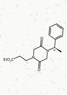 CCOC(=O)CCN1CC(=O)N([C@H](C)c2ccccc2)CC1=O